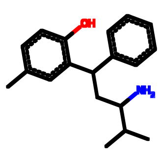 Cc1ccc(O)c(C(CC(N)C(C)C)c2ccccc2)c1